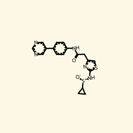 O=C(Cc1csc(N[S+]([O-])C2CC2)n1)Nc1ccc(-c2cncnc2)cc1